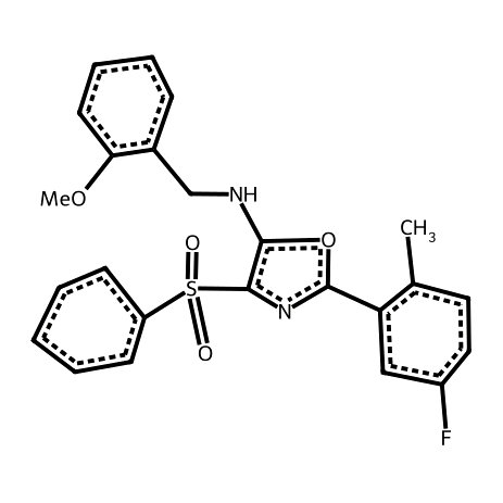 COc1ccccc1CNc1oc(-c2cc(F)ccc2C)nc1S(=O)(=O)c1ccccc1